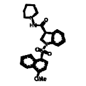 COc1ccc(S(=O)(=O)N2CC(C(=O)NN3CCCCC3)c3ccccc32)c2ccccc12